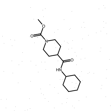 COC(=O)N1CCC(C(=O)NC2CCCCC2)CC1